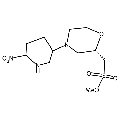 COS(=O)(=O)C[C@@H]1CN(C2CCC([N+](=O)[O-])NC2)CCO1